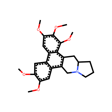 COc1cc2c3c(c4c(OC)c(OC)c(OC)cc4c2cc1OC)CC1CCCN1C3